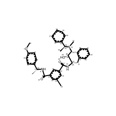 COc1ccc([C@@H](C)NC(=O)c2cc(C)cc(C(=O)N[C@@H](Cc3ccccc3)[C@H](O)CN(C)[C@@H](C)c3ccccc3)c2)cc1